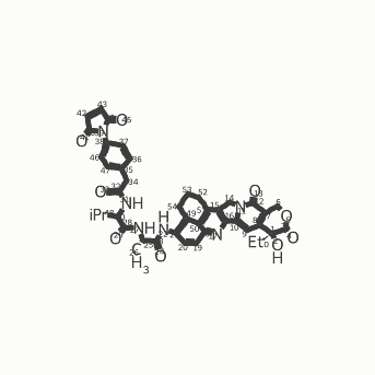 CC[C@@]1(O)C(=O)OCc2c1cc1n(c2=O)Cc2c-1nc1ccc(NC(=O)C(C)NC(=O)C(NC(=O)Cc3ccc(N4C(=O)C=CC4=O)cc3)C(C)C)c3c1c2CCC3